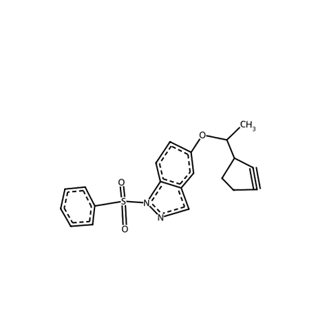 CC(Oc1ccc2c(cnn2S(=O)(=O)c2ccccc2)c1)C1C#CCC1